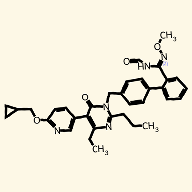 CCCc1nc(CC)c(-c2ccc(OCC3CC3)nc2)c(=O)n1Cc1ccc(-c2ccccc2/C(=N/OC)NC=O)cc1